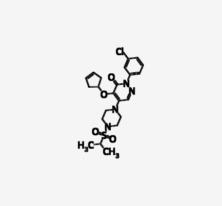 CC(C)S(=O)(=O)N1CCN(c2cnn(-c3cccc(Cl)c3)c(=O)c2OC2CC=CC2)CC1